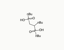 CCCCC(CP(=O)(O)CCCC)P(=O)(O)CCCC